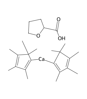 CC1=C(C)C(C)(C)[C]([Ca][C]2=C(C)C(C)=C(C)C2(C)C)=C1C.O=C(O)C1CCCO1